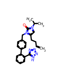 C=CCCc1cn(C(C)C)c(=O)n1Cc1ccc(-c2ccccc2-c2nnn[nH]2)cc1